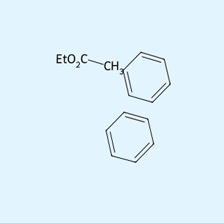 CCOC(C)=O.c1ccccc1.c1ccccc1